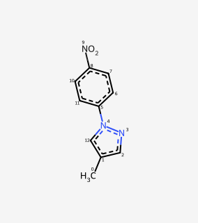 Cc1cnn(-c2ccc([N+](=O)[O-])cc2)c1